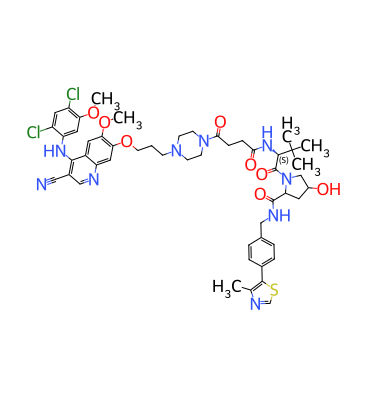 COc1cc(Nc2c(C#N)cnc3cc(OCCCN4CCN(C(=O)CCC(=O)N[C@H](C(=O)N5CC(O)CC5C(=O)NCc5ccc(-c6scnc6C)cc5)C(C)(C)C)CC4)c(OC)cc23)c(Cl)cc1Cl